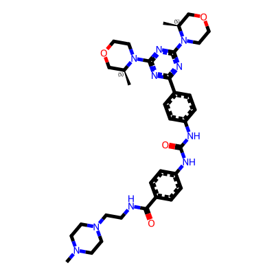 C[C@H]1COCCN1c1nc(-c2ccc(NC(=O)Nc3ccc(C(=O)NCCN4CCN(C)CC4)cc3)cc2)nc(N2CCOC[C@@H]2C)n1